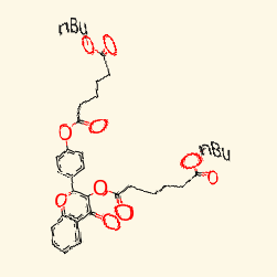 CCCCOC(=O)CCCCC(=O)Oc1ccc(-c2oc3ccccc3c(=O)c2OC(=O)CCCCC(=O)OCCCC)cc1